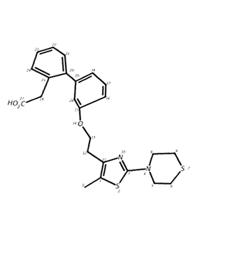 Cc1sc(N2CCSCC2)nc1CCOc1cccc(-c2ccccc2CC(=O)O)c1